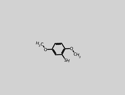 COc1ccc(OC)c(S)c1